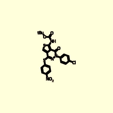 CC(C)(C)OC(=O)Nc1scc2c(Sc3ccc([N+](=O)[O-])cc3)nn(-c3ccc(Cl)cc3)c(=O)c12